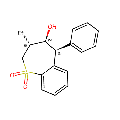 CC[C@H]1CS(=O)(=O)c2ccccc2[C@H](c2ccccc2)[C@@H]1O